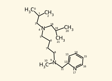 CC(C)CN(CCCCN(C)Cc1ccccn1)CC(C)C